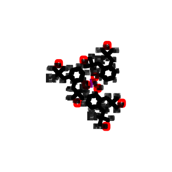 CCC1(Cc2cccc(OP(Oc3cccc(CC4(CC)COC4)c3CC3(CC)COC3)Oc3cccc(CC4(CC)COC4)c3CC3(CC)COC3)c2CC2(CC)COC2)COC1